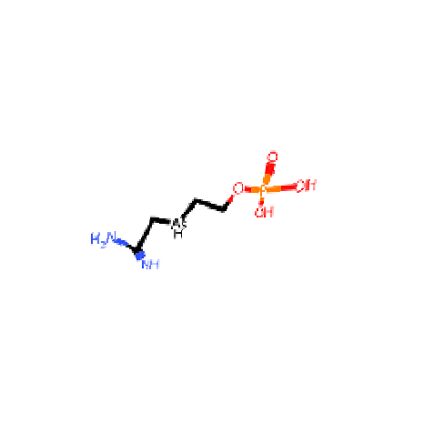 N=C(N)C[AsH]CCOP(=O)(O)O